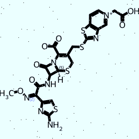 CO/N=C(\C(=O)NC1C(=O)N2C(C(=O)[O-])=C(CSc3nc4c[n+](CC(=O)O)ccc4s3)CS[C@@H]12)c1csc(N)n1